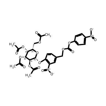 CC(=O)OC[C@@H]1O[C@H](Oc2ccc(COC(=O)Oc3ccc([N+](=O)[O-])cc3)cc2[N+](=O)[O-])[C@@H](OC(C)=O)[C@H](OC(C)=O)[C@@H]1OC(C)=O